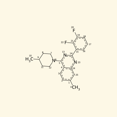 Cc1ccc2c(N3CCC(C)CC3)nc(-c3cccc(F)c3F)nc2c1